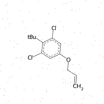 C=CCOc1cc(Cl)c(C(C)(C)C)c(Cl)c1